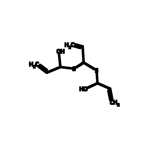 C=C[C](SC(O)C=C)SC(O)C=C